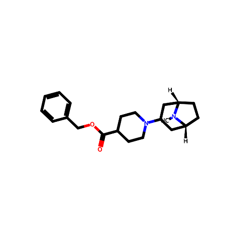 N#CN1[C@@H]2CC[C@H]1CC(N1CCC(C(=O)OCc3ccccc3)CC1)C2